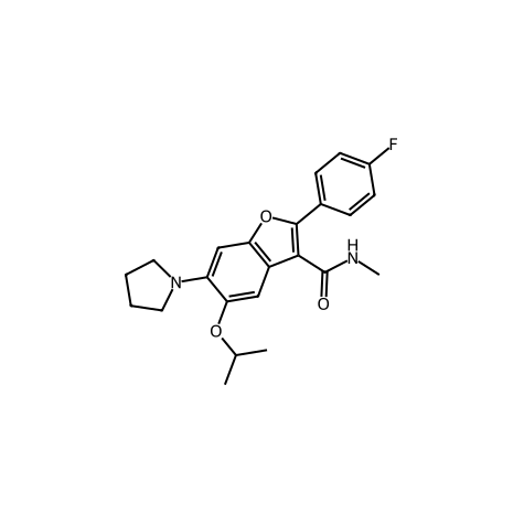 CNC(=O)c1c(-c2ccc(F)cc2)oc2cc(N3CCCC3)c(OC(C)C)cc12